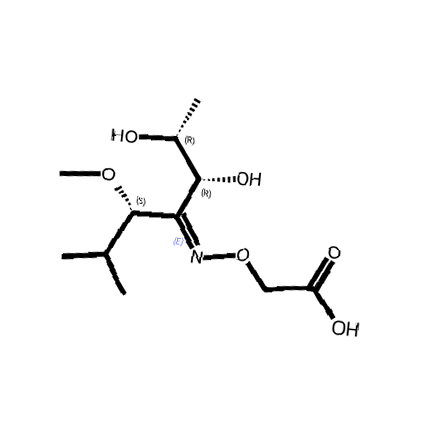 CO[C@H](/C(=N/OCC(=O)O)[C@@H](O)[C@@H](C)O)C(C)C